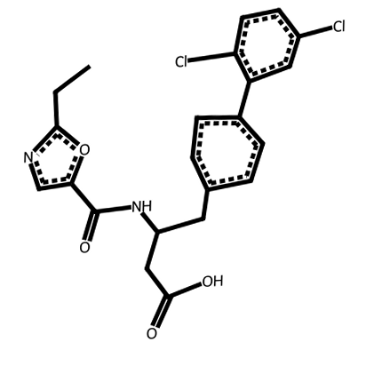 CCc1ncc(C(=O)NC(CC(=O)O)Cc2ccc(-c3cc(Cl)ccc3Cl)cc2)o1